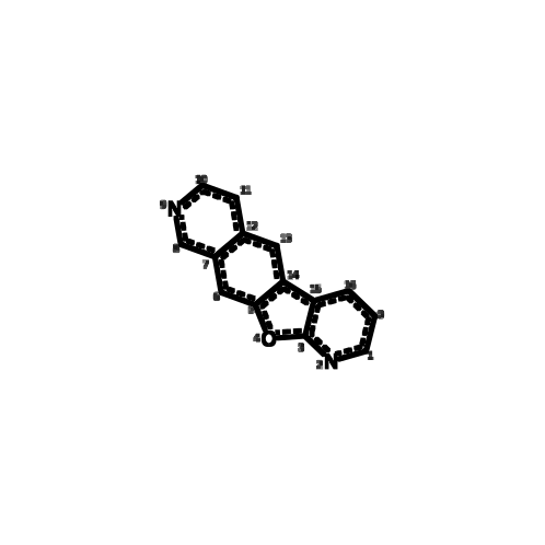 c1cnc2oc3cc4cnccc4cc3c2c1